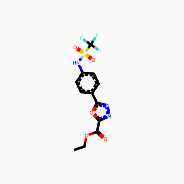 CCOC(=O)c1nnc(-c2ccc(NS(=O)(=O)C(F)(F)F)cc2)o1